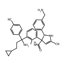 N#CC1=CC(C(N)=O)(c2cccc(C(N)(CCC3CC3)c3ccc(C#N)cc3)c2F)N(c2cccc(CN)c2)N1